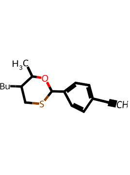 C#Cc1ccc(C2OC(C)C(C(C)(C)C)CS2)cc1